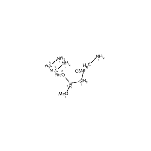 CN.CN.CN.CO[SiH2][SiH](OC)OC